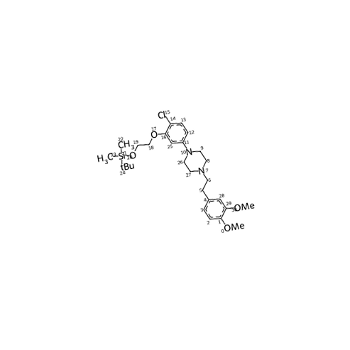 COc1ccc(CCN2CCN(c3ccc(Cl)c(OCCO[Si](C)(C)C(C)(C)C)c3)CC2)cc1OC